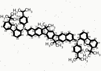 CC(C)c1ccc(N(c2ccc3cc4c(cc3c2)C(C)(C)c2cc3c(cc2-4)C(C)(C)c2cc4cc(N(c5ccc(C(C)C)cc5)c5cccc6c5oc5c(C(C)(C)C)cccc56)ccc4cc2-3)c2cccc3c2oc2c(C(C)(C)C)cccc23)cc1